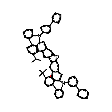 CC(C)c1ccc(-c2ccccc2N(c2ccc(-c3ccccc3)cc2)c2ccc3cc4c(cc3c2)oc2cc3cc(N(c5cccc(-c6ccccc6)c5)c5ccccc5-c5ccc(C(C)(C)C)cc5)ccc3cc24)cc1